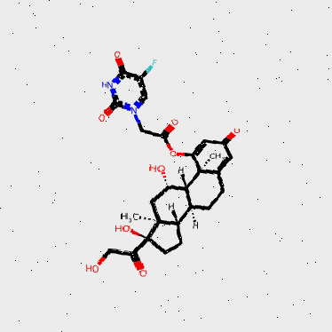 C[C@@]12C(=CC(=O)C=C1OC(=O)Cn1cc(F)c(=O)[nH]c1=O)CC[C@@H]1[C@@H]2[C@@H](O)C[C@@]2(C)[C@H]1CC[C@]2(O)C(=O)CO